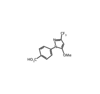 COc1cc(C(F)(F)F)nn1-c1ccc(C(=O)O)cc1